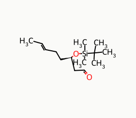 CC=CCC[C@H](CC=O)O[Si](C)(C)C(C)(C)C